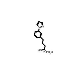 O=C(O)[C@H](O)CCCc1cccc(-n2cccn2)c1